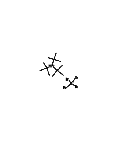 Br[B-](Br)(Br)Br.CC(C)(C)[PH+](C(C)(C)C)C(C)(C)C